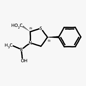 CB(O)N1C[C@H](c2ccccc2)S[C@H]1C(=O)O